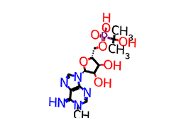 Cn1cnc2c(ncn2[C@@H]2O[C@H](COP(=O)(O)C(C)(C)O)[C@@H](O)[C@H]2O)c1=N